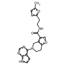 Cc1cnc(CCNC(=O)c2noc3c2CN(c2ncnc4[nH]ccc24)CC3)o1